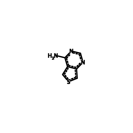 Nc1ncnc2cscc12